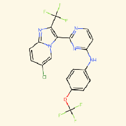 FC(F)(F)Oc1ccc(Nc2ccnc(-c3c(C(F)(F)F)nc4ccc(Cl)cn34)n2)cc1